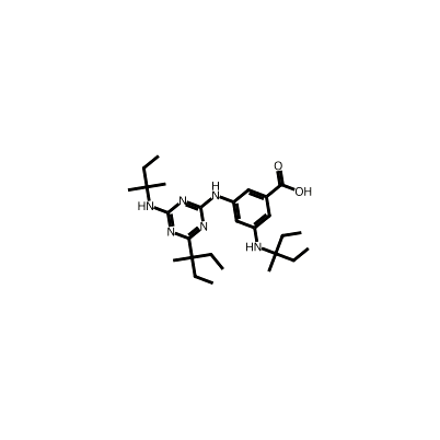 CCC(C)(C)Nc1nc(Nc2cc(NC(C)(CC)CC)cc(C(=O)O)c2)nc(C(C)(CC)CC)n1